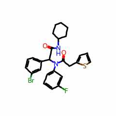 O=C(NC1CCCCC1)C(c1cccc(Br)c1)N(C(=O)Cc1cccs1)c1cccc(F)c1